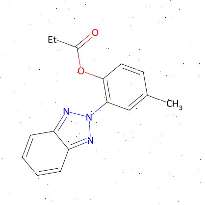 CCC(=O)Oc1ccc(C)cc1-n1nc2ccccc2n1